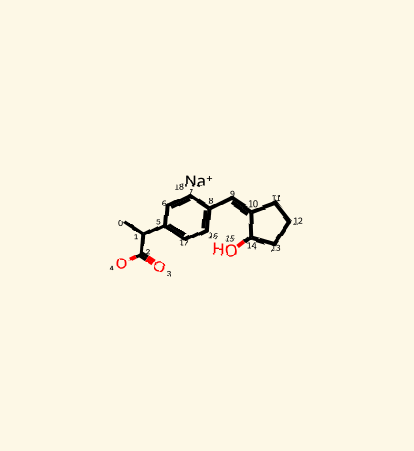 CC(C(=O)[O-])c1ccc(C=C2CCCC2O)cc1.[Na+]